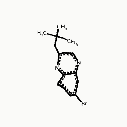 CC(C)(C)Cc1cnc2cc(Br)ccc2n1